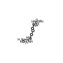 CCC(C(=N)C(=O)OC(C)(C)C)c1ncc(-c2ccc3cc(-c4ccc(-c5cnc(C(CCCN(C)C)C(=N)C(=O)O)[nH]5)cc4)ccc3c2)[nH]1